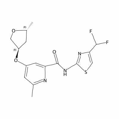 Cc1cc(O[C@H]2CO[C@H](C)C2)cc(C(=O)Nc2nc(C(F)F)cs2)n1